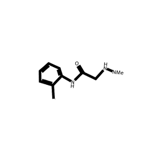 [CH2]c1ccccc1NC(=O)CNNC